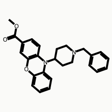 COC(=O)c1ccc2c(c1)Oc1ccccc1N2C1CCN(Cc2ccccc2)CC1